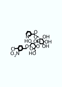 O=C(OC[C@H]1O[C@@H](O[C@H]2[C@H](O)[C@@H](O)[C@@H](OCc3ccc(Cl)c([N+](=O)[O-])c3)O[C@@H]2CO)[C@H](O)[C@@H](O)[C@@H]1O)c1cccnc1